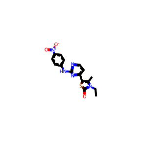 CCn1c(C)c(-c2ccnc(Nc3ccc([N+](=O)[O-])cc3)n2)sc1=O